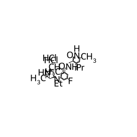 CCN(c1cc(F)cc(C(=O)NCc2c(C(C)C)cc(C)[nH]c2=O)c1C)C1C[C@@H](C)N[C@H](C)C1.Cl.Cl